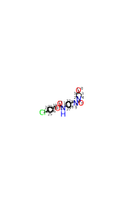 COC1CCN(C(=O)N(C)Cc2ccc(NC(=O)OCc3ccc(Cl)cc3)cc2)CC1